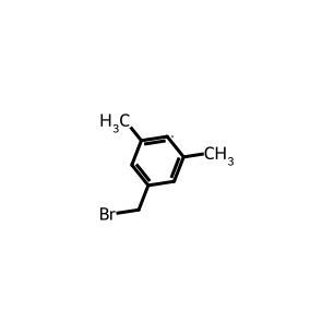 Cc1[c]c(C)cc(CBr)c1